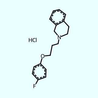 Cl.Fc1ccc(OCCCN2CCc3ccccc3C2)cc1